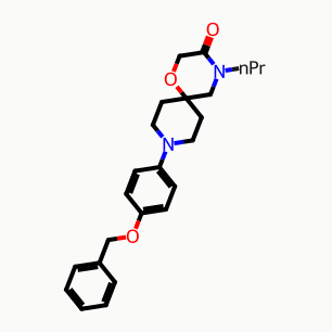 CCCN1CC2(CCN(c3ccc(OCc4ccccc4)cc3)CC2)OCC1=O